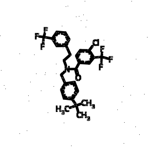 CC(C)(C)c1ccc(CN(CCc2cccc(C(F)(F)F)c2)C(=O)c2ccc(Cl)c(C(F)(F)F)c2)cc1